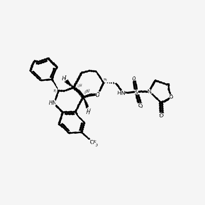 O=C1OCCN1S(=O)(=O)NC[C@H]1CC[C@@H]2[C@H](O1)c1cc(C(F)(F)F)ccc1N[C@H]2c1ccccc1